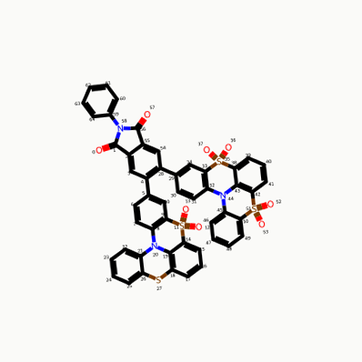 O=C1c2cc(-c3ccc4c(c3)S(=O)(=O)c3cccc5c3N4c3ccccc3S5)c(-c3ccc4c(c3)S(=O)(=O)c3cccc5c3N4c3ccccc3S5(=O)=O)cc2C(=O)N1c1ccccc1